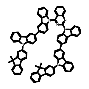 CC1(C)c2ccccc2-c2ccc(-n3c4ccccc4c4cc(-c5ccc6c(c5)c5ccccc5n6-c5nc(-n6c7ccccc7c7cc(-c8ccc9c(c8)c8ccccc8n9-c8ccc9c(c8)C(C)(C)c8ccccc8-9)ccc76)c6ccccc6n5)ccc43)cc21